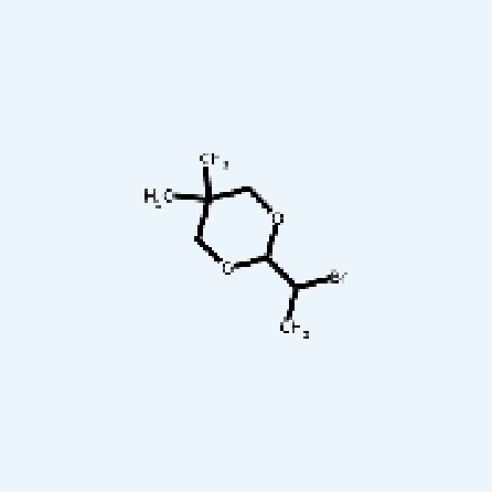 CC(Br)C1OCC(C)(C)CO1